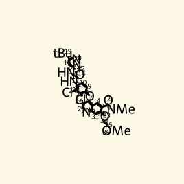 CNC(=O)c1cc2c(Oc3ccc(NC(=O)Nc4cc(C(C)(C)C)nn4C)c(Cl)c3Cl)ccnc2cc1OCCOC